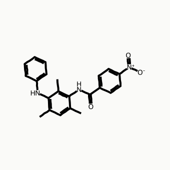 Cc1cc(C)c(Nc2ccccc2)c(C)c1NC(=O)c1ccc([N+](=O)[O-])cc1